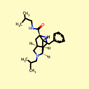 CC(C)CNC(=O)[C@@]12C[C@@H]3CN(CC(C)C)[C@@H]([C@@H]3CN1)[C@H]2Cc1ccccc1